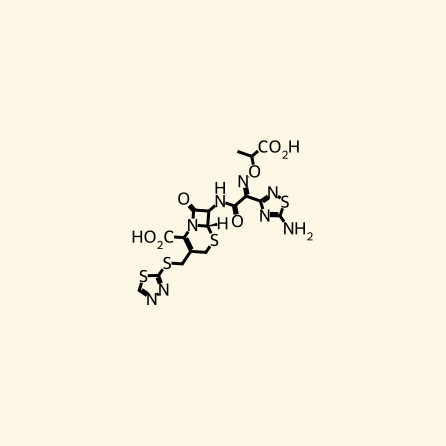 CC(ON=C(C(=O)NC1C(=O)N2C(C(=O)O)=C(CSc3nncs3)CS[C@@H]12)c1nsc(N)n1)C(=O)O